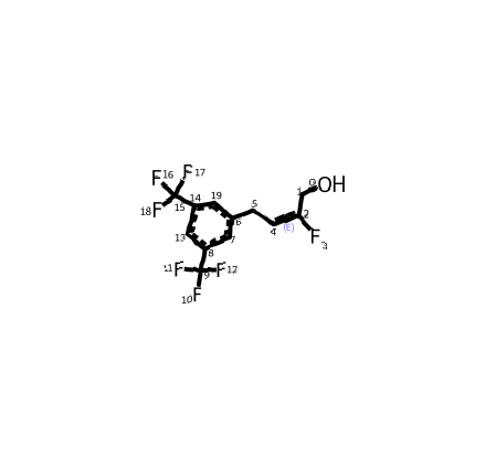 OC/C(F)=C\Cc1cc(C(F)(F)F)cc(C(F)(F)F)c1